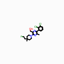 Cc1nc(N2CCC(C)(CCF)CC2)c(CO)nc1-c1cccc(Cl)c1Cl